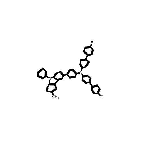 Cc1ccc2c(c1)c1cc(-c3ccc(N(c4ccc(-c5ccc(F)cc5)cc4)c4ccc(-c5ccc(F)cc5)cc4)cc3)ccc1n2-c1ccccc1